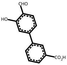 O=Cc1ccc(-c2cccc(C(=O)O)c2)cc1O